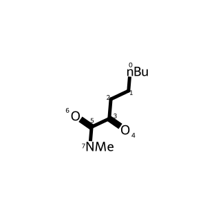 CCCCCCC(=O)C(=O)NC